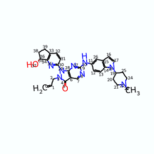 C=CCn1c(=O)c2cnc(Nc3ccc4c(ccn4C4CCN(C)CC4)c3)nc2n1-c1ccc2c(n1)[C@@H](O)CC2